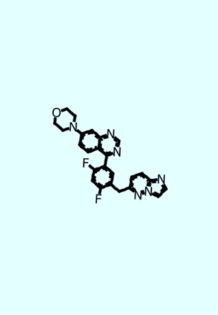 Fc1cc(F)c(-c2ncnc3cc(N4CCOCC4)ccc23)cc1Cc1ccc2nccn2n1